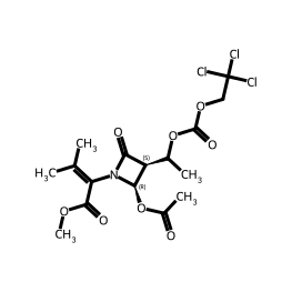 COC(=O)C(=C(C)C)N1C(=O)[C@@H](C(C)OC(=O)OCC(Cl)(Cl)Cl)[C@H]1OC(C)=O